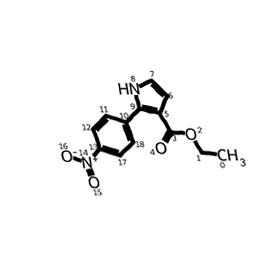 CCOC(=O)c1cc[nH]c1-c1ccc([N+](=O)[O-])cc1